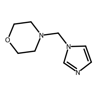 c1cn(CN2CCOCC2)cn1